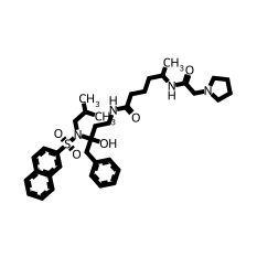 CC(C)CN(C(O)(CCNC(=O)CCCC(C)NC(=O)CN1CCCC1)Cc1ccccc1)S(=O)(=O)c1ccc2ccccc2c1